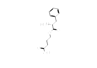 N[C@@H](Cc1ccccc1)C(=O)OCCCC(=O)O